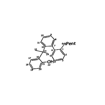 CCCCCc1ccccc1-c1ccccc1C(C)(C)c1ccccc1O